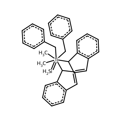 [CH3][Ti]([CH3])(=[SiH2])([CH2]c1ccccc1)([CH2]c1ccccc1)([CH]1C=Cc2ccccc21)[CH]1C=Cc2ccccc21